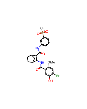 COc1cc(Br)c(O)cc1C(=O)NC1C2CCC(C2)C1C(=O)Nc1cccc(S(=O)(=O)C(F)(F)F)c1